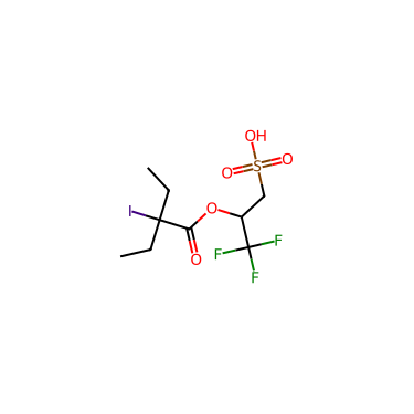 CCC(I)(CC)C(=O)OC(CS(=O)(=O)O)C(F)(F)F